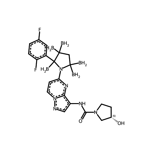 BC1(B)CC(B)(B)C(B)(c2cc(F)ccc2F)N1c1ccn2ncc(NC(=O)N3CC[C@H](O)C3)c2n1